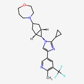 Cc1ncc(-c2cn([C@H]3[C@@H]4CC(N5CCCOCC5)C[C@@H]43)c(C3CC3)n2)cc1C(F)(F)F